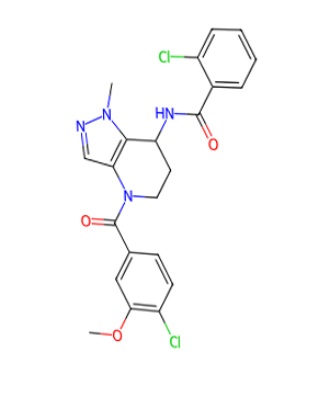 COc1cc(C(=O)N2CCC(NC(=O)c3ccccc3Cl)c3c2cnn3C)ccc1Cl